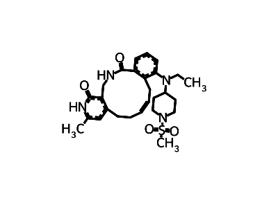 CCN(c1cccc2c1CC=CCCc1cc(C)[nH]c(=O)c1CNC2=O)C1CCN(S(C)(=O)=O)CC1